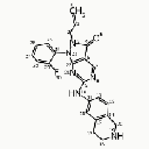 C=CCn1c(=O)c2cnc(Nc3ccc4c(c3)CCNC4)nc2n1-c1ccccc1F